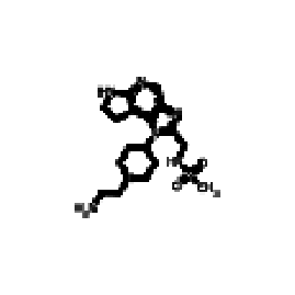 CS(=O)(=O)NCc1nc2cnc3c(c2n1C1CCN(CCN)CC1)CCN3